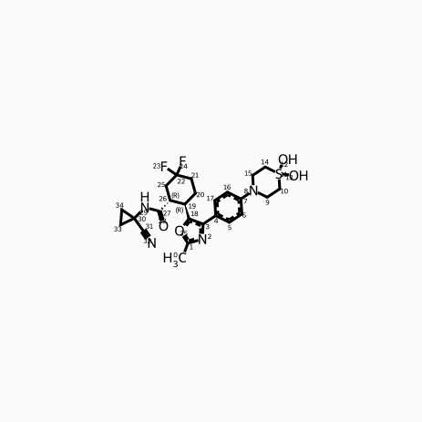 Cc1nc(-c2ccc(N3CCS(O)(O)CC3)cc2)c([C@@H]2CCC(F)(F)C[C@H]2C(=O)NC2(C#N)CC2)o1